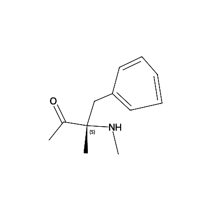 CN[C@@](C)(Cc1ccccc1)C(C)=O